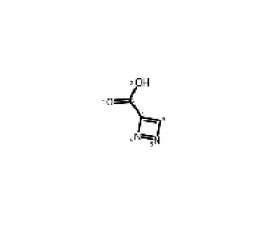 O=C(O)C1=CN=N1